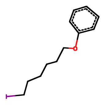 ICCCCCCOc1ccccc1